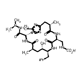 Cc1csc(C[C@H](C)C(=O)N[C@@H](CNC(=O)O)C(=O)N[C@@H](CC(C)C)[C@@H](O)C[C@@H](C)C(=O)N[C@H](C(=O)NN(C)C)C(C)C)n1